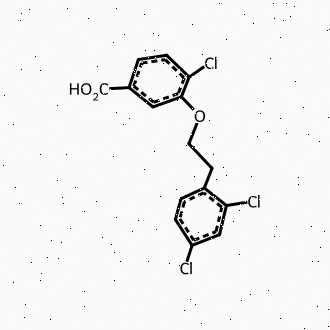 O=C(O)c1ccc(Cl)c(OCCc2ccc(Cl)cc2Cl)c1